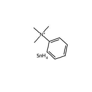 C[N+](C)(C)c1ccccc1.[SnH4]